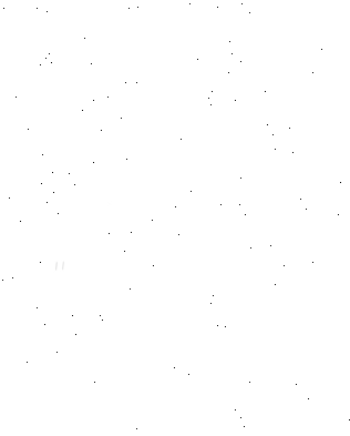 CCc1ccc2c(c1)C(O)CC2